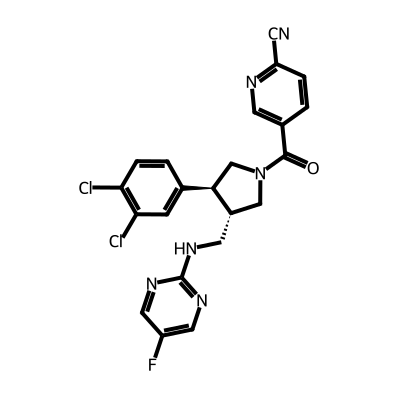 N#Cc1ccc(C(=O)N2C[C@H](CNc3ncc(F)cn3)[C@@H](c3ccc(Cl)c(Cl)c3)C2)cn1